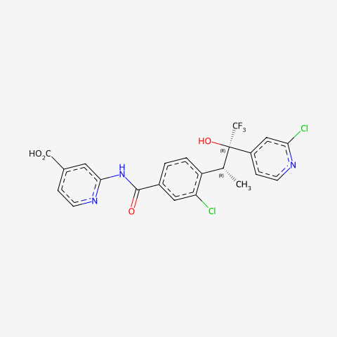 C[C@H](c1ccc(C(=O)Nc2cc(C(=O)O)ccn2)cc1Cl)[C@@](O)(c1ccnc(Cl)c1)C(F)(F)F